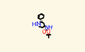 CC(C)(C)OC(=O)N[C@@H]1CCN[C@H](c2ccccc2)C1